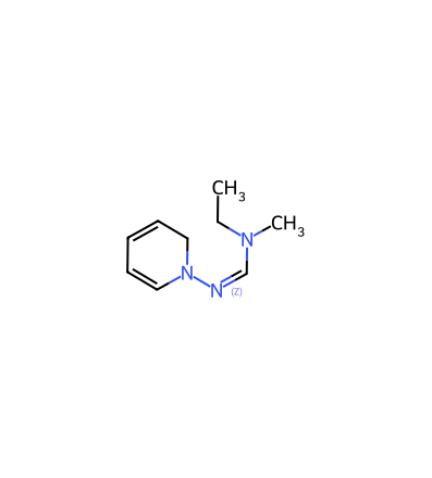 CCN(C)/C=N\N1C=CC=CC1